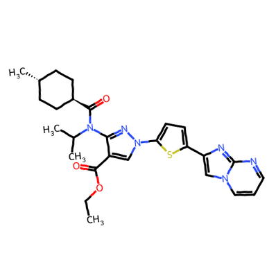 CCOC(=O)c1cn(-c2ccc(-c3cn4cccnc4n3)s2)nc1N(C(=O)[C@H]1CC[C@H](C)CC1)C(C)C